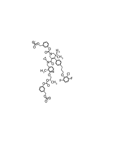 Cc1c(CN(C(=O)C2=C(c3ccc(CCCOc4c(F)ccc(F)c4Cl)cc3)C(C)(C)CN(C(=O)Oc3cccc(CO[N+](=O)[O-])c3)C2)C2CC2)ccnc1OCC(C)OC(=O)Oc1cccc(CO[N+](=O)[O-])c1